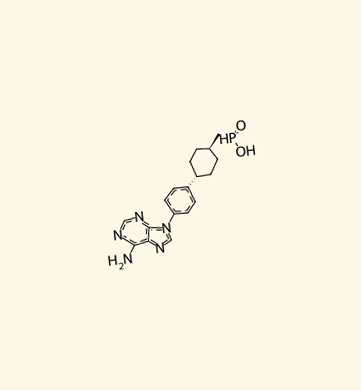 Nc1ncnc2c1ncn2-c1ccc([C@H]2CC[C@H](C[PH](=O)O)CC2)cc1